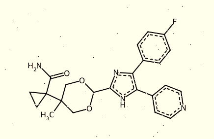 CC1(C2(C(N)=O)CC2)COC(c2nc(-c3ccc(F)cc3)c(-c3ccncc3)[nH]2)OC1